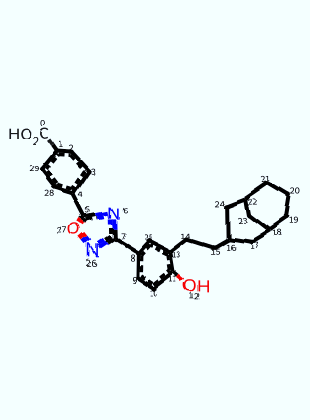 O=C(O)c1ccc(-c2nc(-c3ccc(O)c(CCC4CC5CCCC(C5)C4)c3)no2)cc1